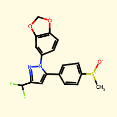 C[S+]([O-])c1ccc(-c2cc(C(F)F)nn2-c2ccc3c(c2)OCO3)cc1